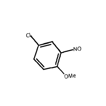 COc1ccc(Cl)cc1N=O